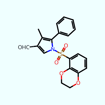 Cc1c(C=O)cn(S(=O)(=O)c2cccc3c2OCCO3)c1-c1ccccc1